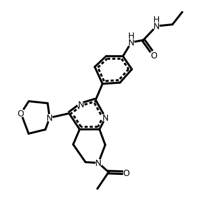 CCNC(=O)Nc1ccc(-c2nc3c(c(N4CCOCC4)n2)CCN(C(C)=O)C3)cc1